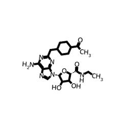 CCNC(=O)[C@H]1O[C@@H](n2cnc3c(N)nc(CC4CCC(C(C)=O)CC4)nc32)C(O)C1O